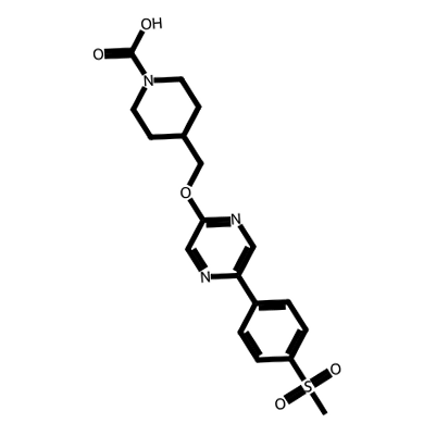 CS(=O)(=O)c1ccc(-c2cnc(OCC3CCN(C(=O)O)CC3)cn2)cc1